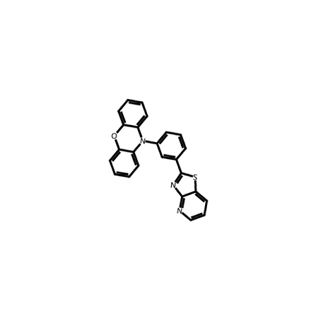 c1cc(-c2nc3ncccc3s2)cc(N2c3ccccc3Oc3ccccc32)c1